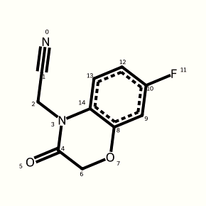 N#CCN1C(=O)COc2cc(F)ccc21